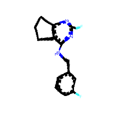 Fc1cccc(CNc2nc(F)nc3c2CCC3)c1